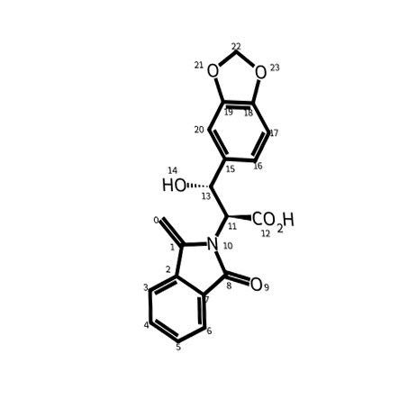 C=C1c2ccccc2C(=O)N1[C@H](C(=O)O)[C@H](O)c1ccc2c(c1)OCO2